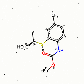 C[C@@H](Sc1cc(C(F)(F)F)ccc1NC(=O)OC(C)(C)C)C(=O)O